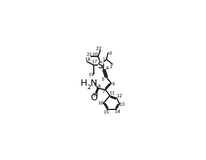 CC(C)[Si](C#C/C=C(\C(N)=O)c1ccccc1)(C(C)C)C(C)C